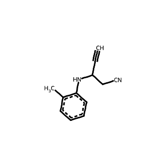 C#CC(CC#N)Nc1ccccc1C